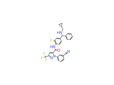 N#Cc1cccc(-n2nc(C(F)(F)F)cc2C(=O)Nc2ccc(C(NCC3CC3)c3ccccc3)cc2F)c1